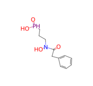 O=C(Cc1ccccc1)N(O)CCC[PH](=O)O